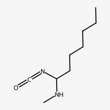 CCCCCCC(N=C=O)NC